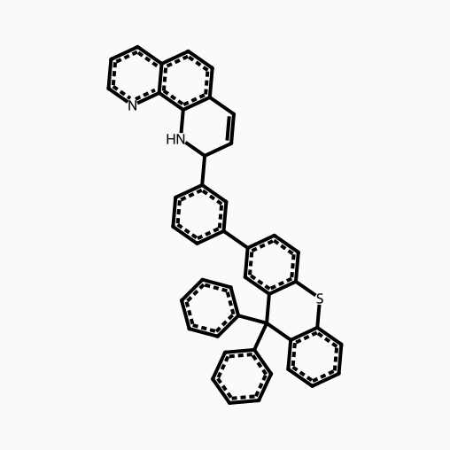 C1=CC(c2cccc(-c3ccc4c(c3)C(c3ccccc3)(c3ccccc3)c3ccccc3S4)c2)Nc2c1ccc1cccnc21